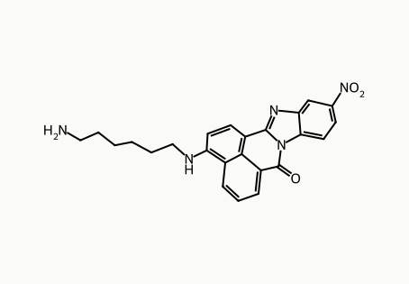 NCCCCCCNc1ccc2c3c1cccc3c(=O)n1c3ccc([N+](=O)[O-])cc3nc21